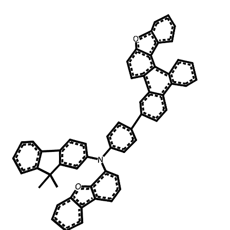 CC1(C)c2ccccc2-c2ccc(N(c3ccc(-c4ccc5c6ccccc6c6c(ccc7oc8ccccc8c76)c5c4)cc3)c3cccc4c3oc3ccccc34)cc21